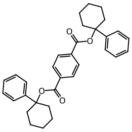 O=C(OC1(c2ccccc2)CCCCC1)c1ccc(C(=O)OC2(c3ccccc3)CCCCC2)cc1